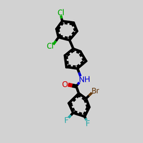 O=C(Nc1ccc(-c2ccc(Cl)cc2Cl)cc1)c1cc(F)c(F)cc1Br